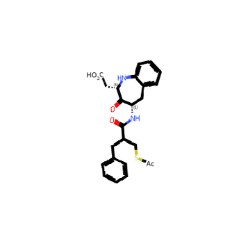 CC(=O)SCC(Cc1ccccc1)C(=O)N[C@H]1Cc2ccccc2N[C@@H](CC(=O)O)C1=O